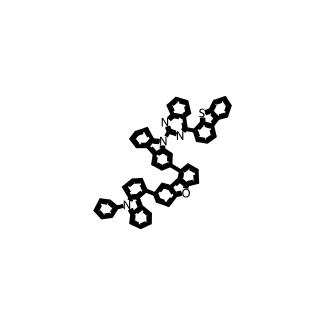 c1ccc(-n2c3ccccc3c3c(-c4ccc5oc6cccc(-c7ccc8c9ccccc9n(-c9nc(-c%10cccc%11c%10sc%10ccccc%10%11)c%10ccccc%10n9)c8c7)c6c5c4)cccc32)cc1